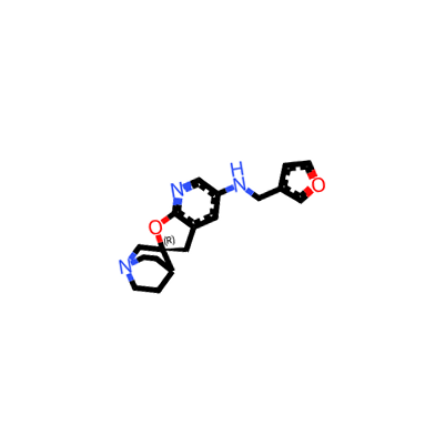 c1cc(CNc2cnc3c(c2)C[C@@]2(CN4CCC2CC4)O3)co1